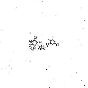 Cc1ccc(Cl)cc1OC[C@@H](C)NC(=O)c1[nH]c(=O)[nH]c(=O)c1N